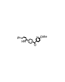 COc1ccc(C(=O)N2CCN(C(=N)/C=C\CC(C)C)CC2)cn1